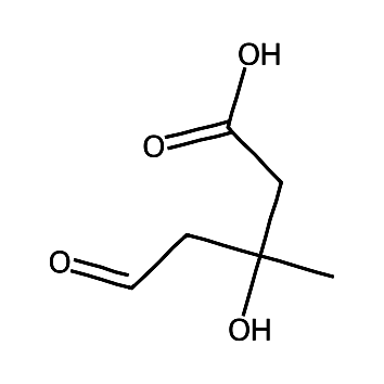 CC(O)(CC=O)CC(=O)O